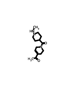 CNN1CCC(C(=O)N2CC=C(C(C)=O)CC2)CC1